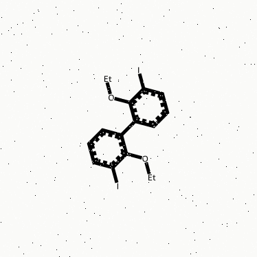 CCOc1c(I)cccc1-c1cccc(I)c1OCC